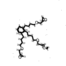 C=C.c1cc(CCCCOCC2CO2)c(CCCCOCC2CO2)c(CCCCOCC2CO2)c1